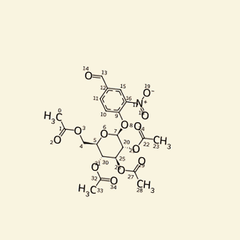 CC(=O)OC[C@H]1O[C@@H](Oc2ccc(C=O)cc2[N+](=O)[O-])[C@H](OC(C)=O)[C@@H](OC(C)=O)[C@@H]1OC(C)=O